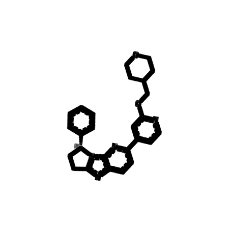 c1ccc([C@H]2CCc3nc4ccc(-c5ccnc(OCC6CCOCC6)c5)nc4n32)cc1